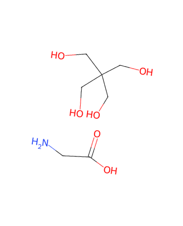 NCC(=O)O.OCC(CO)(CO)CO